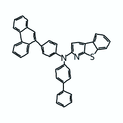 c1ccc(-c2ccc(N(c3ccc(-c4cc5ccccc5c5ccccc45)cc3)c3ccc4c(n3)sc3ccccc34)cc2)cc1